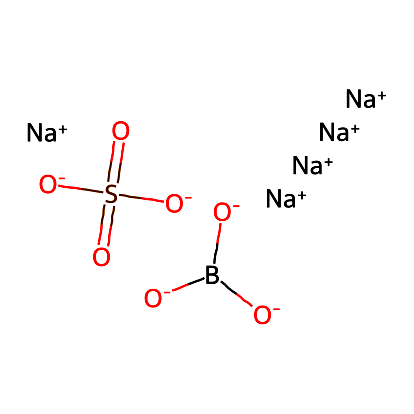 O=S(=O)([O-])[O-].[Na+].[Na+].[Na+].[Na+].[Na+].[O-]B([O-])[O-]